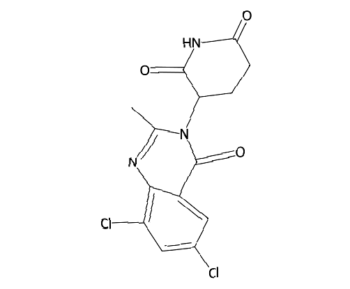 Cc1nc2c(Cl)cc(Cl)cc2c(=O)n1C1CCC(=O)NC1=O